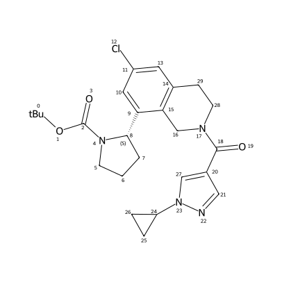 CC(C)(C)OC(=O)N1CCC[C@H]1c1cc(Cl)cc2c1CN(C(=O)c1cnn(C3CC3)c1)CC2